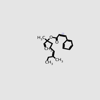 C=CC(C)(CCC=C(C)CC)OC(=O)/C=C\c1ccccc1